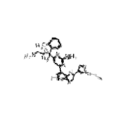 Cc1ccccc1C(C)(OCCN)c1cc(-c2c[nH]c3ncc(-c4cnn(C)c4)nc23)nc(N)n1